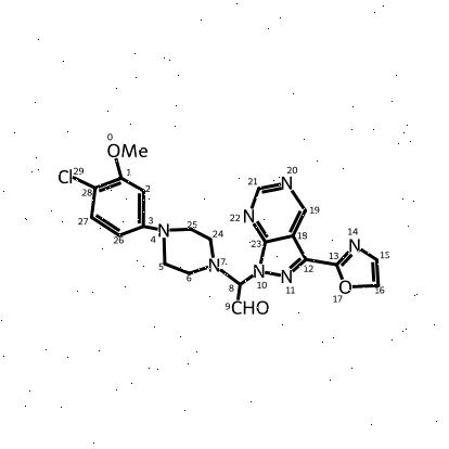 COc1cc(N2CCN(C(C=O)n3nc(-c4ncco4)c4cncnc43)CC2)ccc1Cl